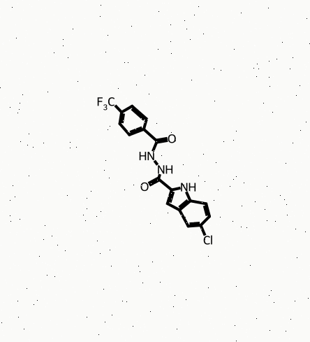 O=C(NNC(=O)c1cc2cc(Cl)ccc2[nH]1)c1ccc(C(F)(F)F)cc1